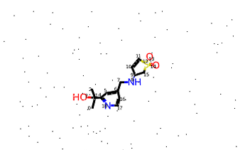 CC(C)(O)c1cc(CN[C@@H]2C=CS(=O)(=O)C2)ccn1